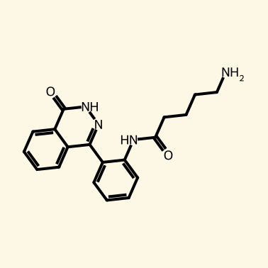 NCCCCC(=O)Nc1ccccc1-c1n[nH]c(=O)c2ccccc12